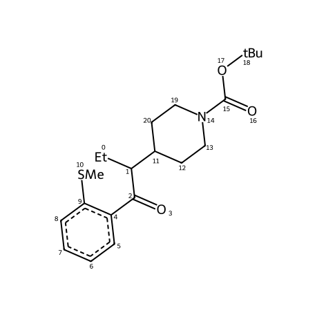 CCC(C(=O)c1ccccc1SC)C1CCN(C(=O)OC(C)(C)C)CC1